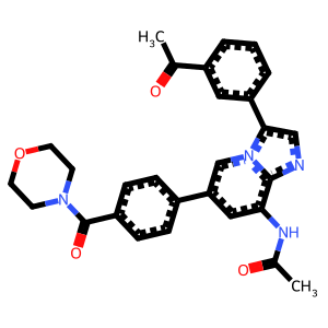 CC(=O)Nc1cc(-c2ccc(C(=O)N3CCOCC3)cc2)cn2c(-c3cccc(C(C)=O)c3)cnc12